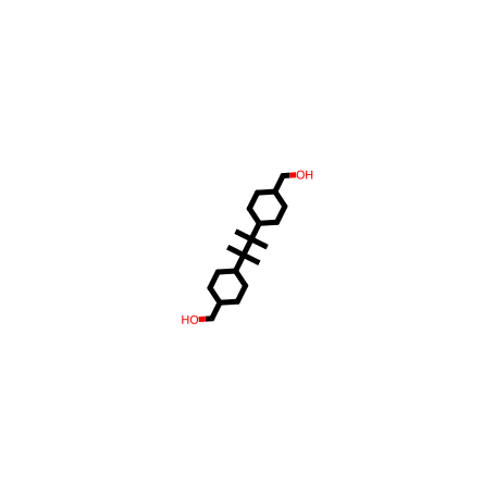 CC(C)(C1CCC(CO)CC1)C(C)(C)C1CCC(CO)CC1